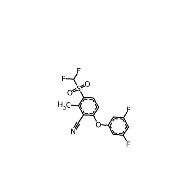 Cc1c(S(=O)(=O)C(F)F)ccc(Oc2cc(F)cc(F)c2)c1C#N